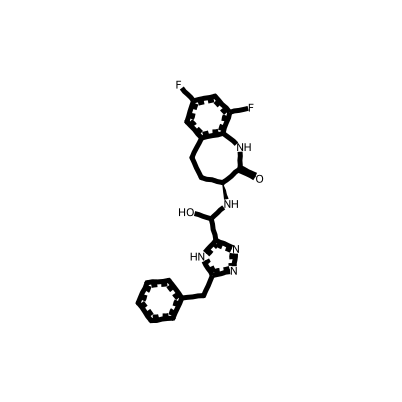 O=C1Nc2c(F)cc(F)cc2CC[C@@H]1NC(O)c1nnc(Cc2ccccc2)[nH]1